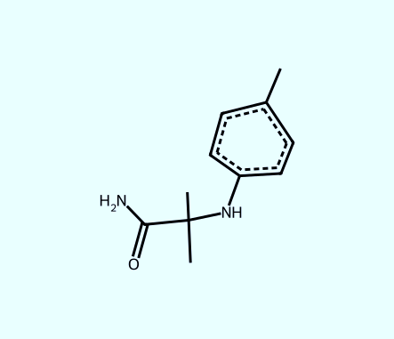 Cc1ccc(NC(C)(C)C(N)=O)cc1